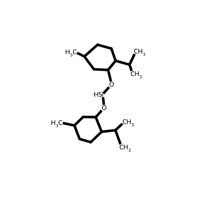 CC1CCC(C(C)C)C(O[SiH]OC2CC(C)CCC2C(C)C)C1